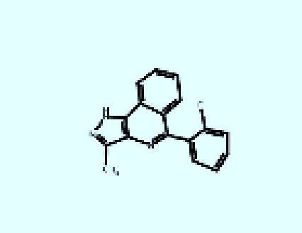 Cc1n[nH]c2c1nc(-c1ccccc1F)c1ccccc12